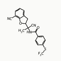 CC(C#N)(NC(=O)c1ccc(SC(F)(F)F)cc1)C1Cc2cccc(C#N)c2O1